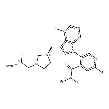 CC(=O)N[C@H](C)CN1CC[C@H](Cc2cn(-c3ccc(F)cc3C(=O)N(C)C(C)C)c3cncc(C)c23)C1